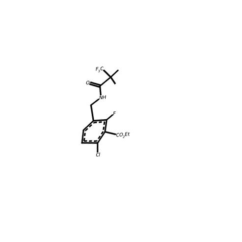 CCOC(=O)c1c(Cl)ccc(CNC(=O)C(C)(C)C(F)(F)F)c1F